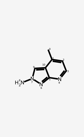 Cc1ccnc2nn(N)cc12